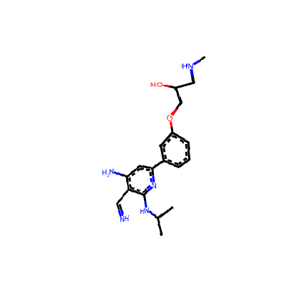 CNCC(O)COc1cccc(-c2cc(N)c(C=N)c(NC(C)C)n2)c1